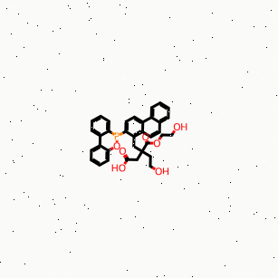 O=C(O)CC(CCO)(Cc1c(P2Oc3ccccc3-c3ccccc32)ccc2c1ccc1ccccc12)C(=O)OCCO